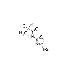 CCC(C)(C)C(=O)Nc1nc(C(C)(C)C)cs1